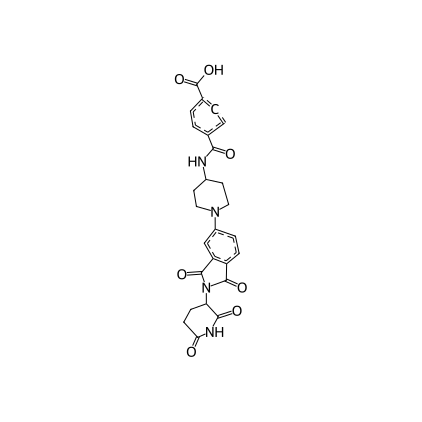 O=C1CCC(N2C(=O)c3ccc(N4CCC(NC(=O)c5ccc(C(=O)O)cc5)CC4)cc3C2=O)C(=O)N1